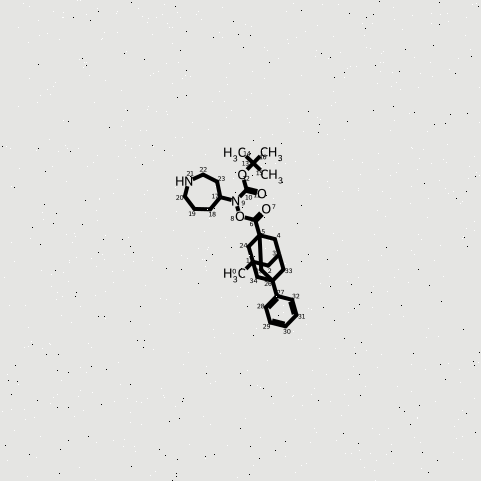 CC12CC3CC(C(=O)ON(C(=O)OC(C)(C)C)C4CCCNCC4)(C1)CC(c1ccccc1)(C3)C2